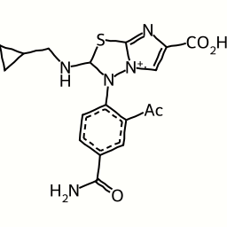 CC(=O)c1cc(C(N)=O)ccc1N1C(NCC2CC2)SC2=NC(C(=O)O)=C[N+]21